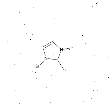 [CH][C]1N(C)C=CN1CC